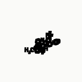 CC(C)COc1cccc2nc(-c3cccc(C(F)(F)F)c3)c(CN3CCC(N4CCOCC4)CC3)c(C(=O)NC3(c4ccccc4)CC3)c12